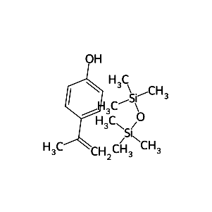 C=C(C)c1ccc(O)cc1.C[Si](C)(C)O[Si](C)(C)C